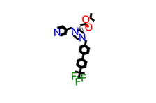 CC(C)OC(=O)C[C@@H]1CN(Cc2ccc(-c3ccc(C(C)(C)C(F)(F)F)cc3)cc2)CCN1Cc1ccncc1